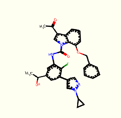 CC(=O)c1cn(C(=O)Nc2cc(C(C)O)cc(-c3cnn(C4CC4)c3)c2F)c2c(OCc3ccccc3)cccc12